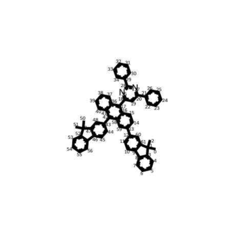 CC1(C)c2ccccc2-c2ccc(-c3ccc4c(-c5cc(-c6ccccc6)nc(-c6ccccc6)n5)c5ccccc5c(-c5ccc6c(c5)C(C)(C)c5ccccc5-6)c4c3)cc21